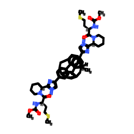 COC(=O)N[C@@H](CCSC)C(=O)N1CCCC[C@H]1c1nc(-c2ccc(-c3cc4ccc3CCc3ccc(c(-c5ccc(-c6c[nH]c([C@@H]7CCCCN7C(=O)[C@H](CCSC)NC(=O)OC)n6)cc5)c3)C[C@H]4C)cc2)c[nH]1